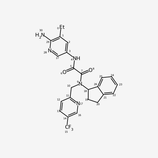 CCc1cc(NC(=O)C(=O)N(Cc2ccc(C(F)(F)F)cn2)C2CCc3ccccc32)cnc1N